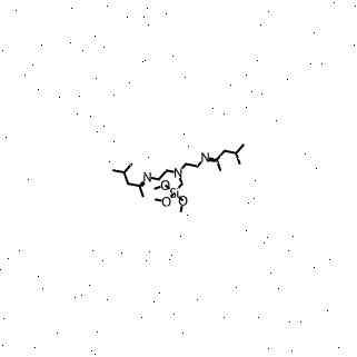 CO[Si](CN(CC/N=C(\C)CC(C)C)CC/N=C(\C)CC(C)C)(OC)OC